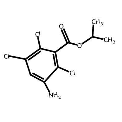 CC(C)OC(=O)c1c(Cl)c(N)cc(Cl)c1Cl